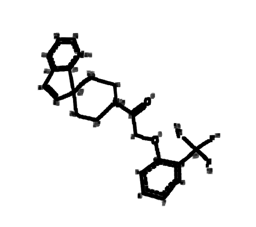 O=C(COc1ccccc1C(F)(F)F)N1CCC2(C=Cc3cccnc32)CC1